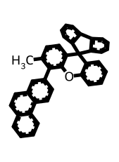 Cc1ccc2c(c1-c1ccc3c(ccc4ccccc43)c1)Oc1ccccc1C21c2ccccc2-c2ccccc21